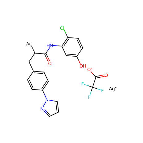 CC(=O)C(Cc1ccc(-n2cccn2)cc1)C(=O)Nc1cc(O)ccc1Cl.O=C([O-])C(F)(F)F.[Ag+]